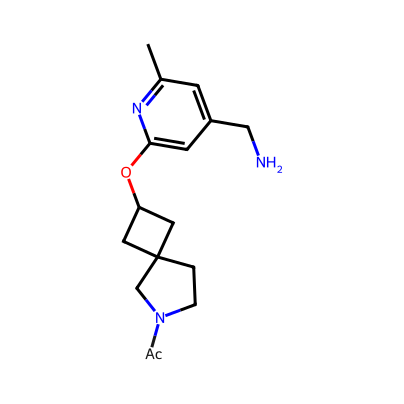 CC(=O)N1CCC2(CC(Oc3cc(CN)cc(C)n3)C2)C1